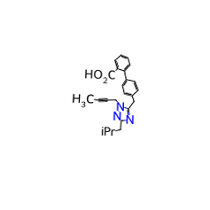 CC#CCn1nc(CC(C)C)nc1Cc1ccc(-c2ccccc2C(=O)O)cc1